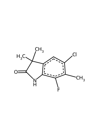 Cc1c(Cl)cc2c(c1F)NC(=O)C2(C)C